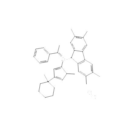 C/[C](c1ccccc1)=[Zr+2](/[C]1=CC(C2(C)CCCCC2)=CC1C)[CH]1c2cc(C)c(C)cc2-c2cc(C)c(C)cc21.[Cl-].[Cl-]